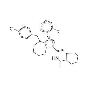 C=C(N[C@@H](C)C1CCCCC1)c1nn(-c2ccccc2Cl)c2c1CCCCC2Cc1ccc(Cl)cc1